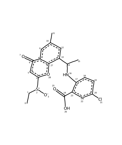 CC[S+]([O-])c1cc(=O)c2cc(C)cc(C(C)Nc3ccc(Cl)nc3C(=O)O)c2o1